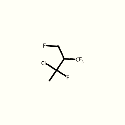 CC(F)(Cl)C(CF)C(F)(F)F